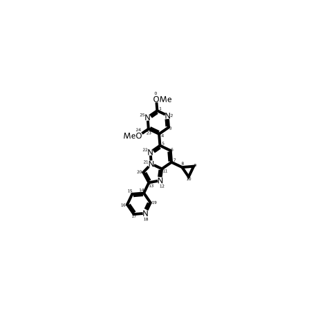 COc1ncc(-c2cc(C3CC3)c3nc(-c4cccnc4)cn3n2)c(OC)n1